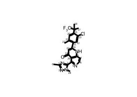 Cc1nc(-c2nccc3[nH]c(-c4cc(Cl)c(C(C)(C)C(F)(F)F)cc4C)cc(=O)c23)n(C)n1